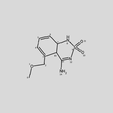 COCC1=CC=CC2NS(=O)(=O)N=C(N)C12